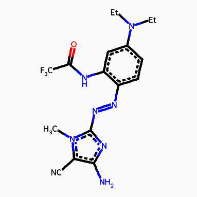 CCN(CC)c1ccc(N=Nc2nc(N)c(C#N)n2C)c(NC(=O)C(F)(F)F)c1